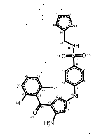 Nc1nc(Nc2ccc(S(=O)(=O)NCc3cccs3)cc2)sc1C(=O)c1c(F)cccc1F